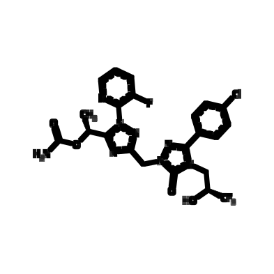 C[C@H](OC(N)=O)c1nc(Cn2nc(-c3ccc(Cl)cc3)n(C[C@H](O)C(F)(F)F)c2=O)nn1-c1ncccc1F